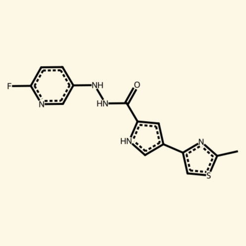 Cc1nc(-c2c[nH]c(C(=O)NNc3ccc(F)nc3)c2)cs1